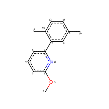 COc1cccc(-c2cc(C)ccc2C)n1